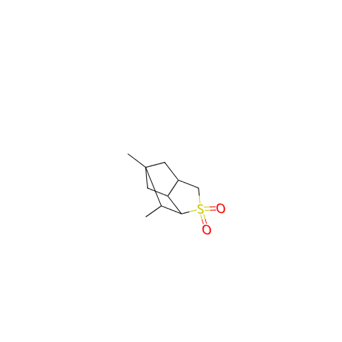 CC1C2C3CC1(C)CC3CS2(=O)=O